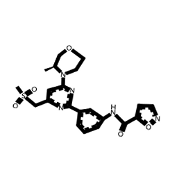 C[C@H]1COCCN1c1cc(CS(C)(=O)=O)nc(-c2cccc(NC(=O)c3ccno3)c2)n1